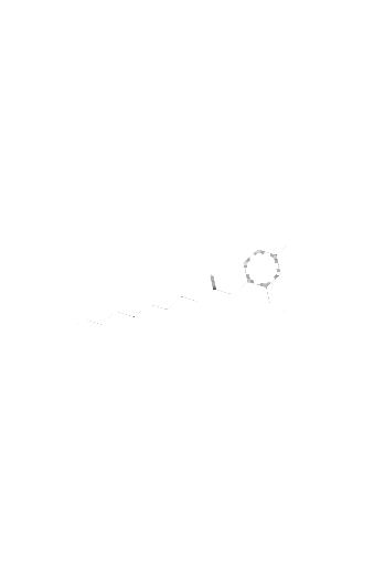 CCCCOCCOC(=O)Oc1ccc(C)cc1C